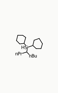 CCCCC(CCC)[SiH](C1CCCCC1)C1CCCCC1